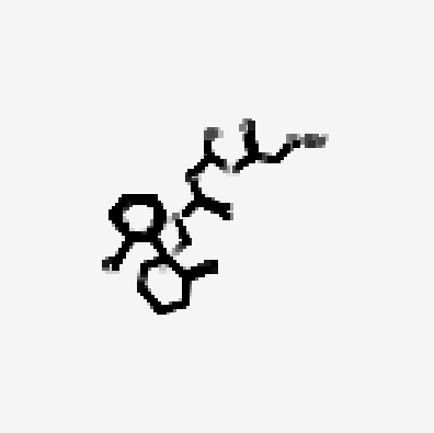 CC(=O)NCC(=O)OC(OC(=O)NC[C@@]1(c2ccccc2Cl)CCCCC1=O)C(C)C